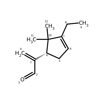 C=C(C=O)[C@H]1CC=C(CC)C1(C)C